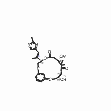 C/C(=C\c1csc(C)n1)[C@@H]1CCc2cccc(c2)CC[C@H](O)[C@@H](C)C(=O)C(C)(C)[C@@H](O)CC(=O)O1